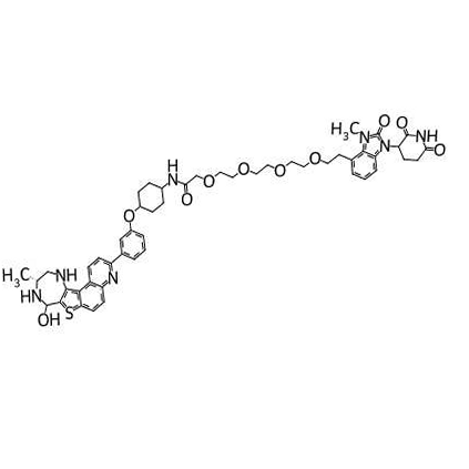 C[C@@H]1CNc2c(sc3ccc4nc(-c5cccc(OC6CCC(NC(=O)COCCOCCOCCOCCc7cccc8c7n(C)c(=O)n8C7CCC(=O)NC7=O)CC6)c5)ccc4c23)C(O)N1